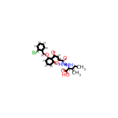 CC[C@@H](C)[C@H](NNC(=O)c1cc(=O)c2c(OCc3ccccc3Br)cccc2o1)C(=O)O